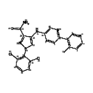 Cc1ccncc1-c1ccc(Nc2cn(-c3c(Cl)cccc3Cl)nc2C(N)=O)cn1